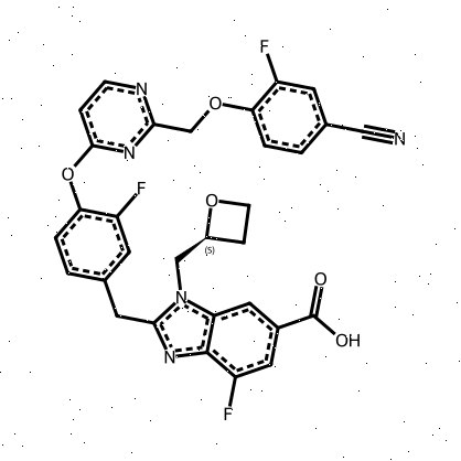 N#Cc1ccc(OCc2nccc(Oc3ccc(Cc4nc5c(F)cc(C(=O)O)cc5n4C[C@@H]4CCO4)cc3F)n2)c(F)c1